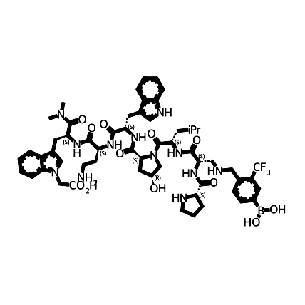 CC(C)C[C@H](NC(=O)[C@H](CNCc1ccc(B(O)O)cc1C(F)(F)F)NC(=O)[C@@H]1CCCN1)C(=O)N1C[C@H](O)C[C@H]1C(=O)N[C@@H](Cc1c[nH]c2ccccc12)C(=O)N[C@@H](CCN)C(=O)N[C@@H](Cc1cn(CC(=O)O)c2ccccc12)C(=O)N(C)C